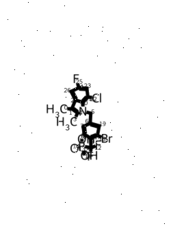 Cc1c(C)n(Cc2ccc(C(F)(F)P(=O)(O)O)c(Br)c2)c2c(Cl)cc(F)cc12